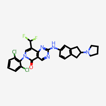 O=c1c2cnc(Nc3ccc4c(c3)CC(N3CCCC3)C4)nc2c(C(F)F)cn1-c1c(Cl)cccc1Cl